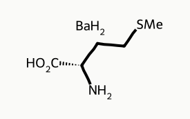 CSCC[C@H](N)C(=O)O.[BaH2]